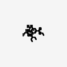 CCOC(=O)C1=C[C@@H](OC(CC)CC)[C@H](NC(=O)CF)[C@@H](N)C1